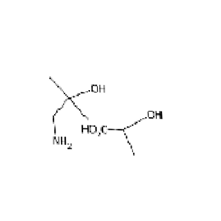 CC(C)(O)CN.CC(O)C(=O)O